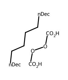 CCCCCCCCCCCCCCCCCCCCCCCC.O=C(O)OOC(=O)O